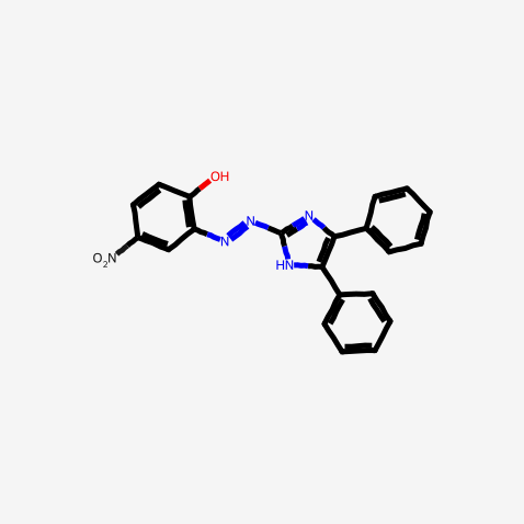 O=[N+]([O-])c1ccc(O)c(/N=N/c2nc(-c3ccccc3)c(-c3ccccc3)[nH]2)c1